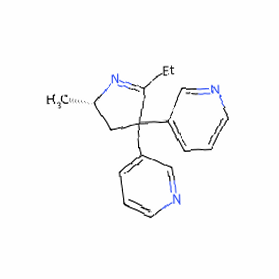 CCC1=N[C@@H](C)CC1(c1cccnc1)c1cccnc1